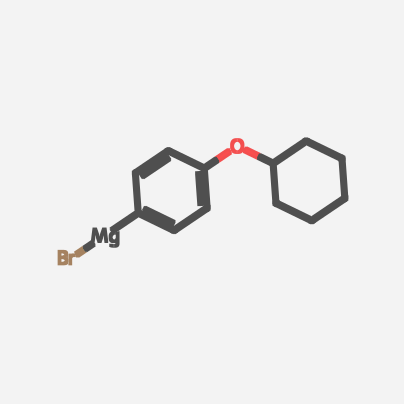 [Br][Mg][c]1ccc(OC2CCCCC2)cc1